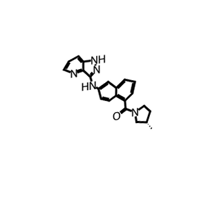 C[C@H]1CCN(C(=O)c2cccc3cc(Nc4n[nH]c5cccnc45)ccc23)C1